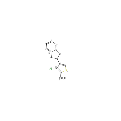 O=C(O)c1scc(C2Cc3ccccc3C2)c1Cl